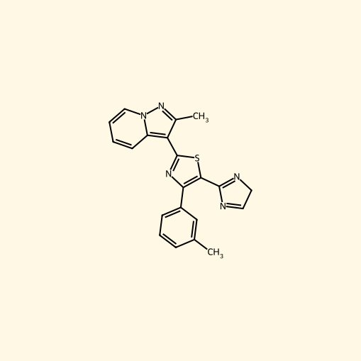 Cc1cccc(-c2nc(-c3c(C)nn4ccccc34)sc2C2=NCC=N2)c1